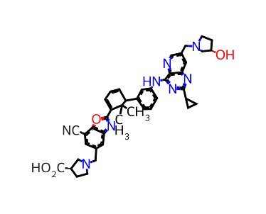 CC1(C)C(c2nc3cc(CN4CC[C@@H](C(=O)O)C4)cc(C#N)c3o2)=CC=CC1c1cccc(Nc2nc(C3CC3)nc3cc(CN4CC[C@@H](O)C4)cnc23)c1